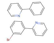 Brc1cccc(-c2ccccn2)c1.c1ccc(-c2ccccn2)cc1